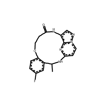 CC1Nc2ccn3ncc(c3n2)NC(=O)CCOc2ccc(F)cc21